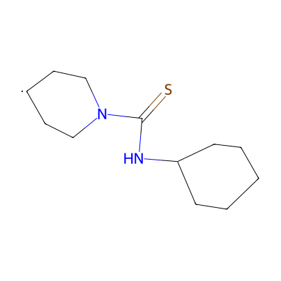 S=C(NC1CCCCC1)N1CC[CH]CC1